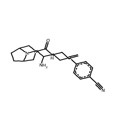 C=CCNC(=O)N1CC2CCC(C1)N2CC(N)CCOc1ccc(C#N)cc1